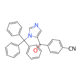 N#Cc1ccc(C(=O)c2cncn2C(c2ccccc2)(c2ccccc2)c2ccccc2)cc1